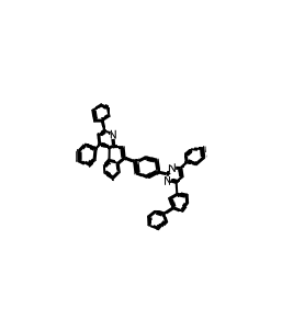 c1ccc(-c2cccc(-c3cc(-c4ccccc4)nc(-c4ccc(-c5cc6nc(-c7ccccc7)cc(-c7ccccc7)c6c6ccccc56)cc4)n3)c2)cc1